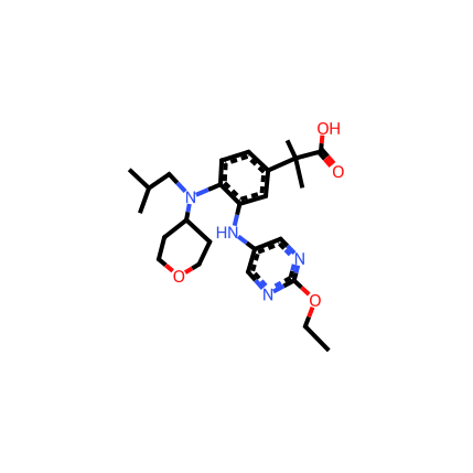 CCOc1ncc(Nc2cc(C(C)(C)C(=O)O)ccc2N(CC(C)C)C2CCOCC2)cn1